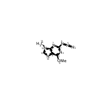 COc1nc(N=[N+]=[N-])nc2c1ncn2C